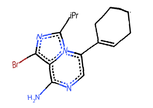 CC(C)c1nc(Br)c2c(N)ncc(C3=CC[CH]CC3)n12